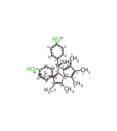 CC1=C(C)C(C)=[C]([Ti](=[SiH2])([C]2=C(C)C(C)=C(C)C2)([c]2ccccc2)[c]2ccccc2)C1.Cl.Cl